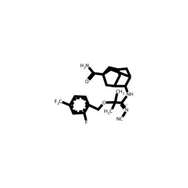 CC(C)(OCc1ccc(C(F)(F)F)cc1F)/C(=N\C#N)NC1C2CC3CC1CC(C(N)=O)(C3)C2